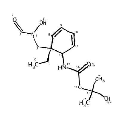 CC[C@@]1(CN(O)C=O)C=CC=CC1NC(=O)OC(C)(C)C